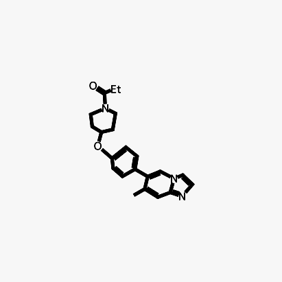 CCC(=O)N1CCC(Oc2ccc(-c3cn4ccnc4cc3C)cc2)CC1